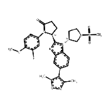 COc1ccc(N2C(=O)CC[C@H]2c2nc3cc(-c4c(C)noc4C)ccc3n2[C@@H]2CCN(S(C)(=O)=O)C2)cc1F